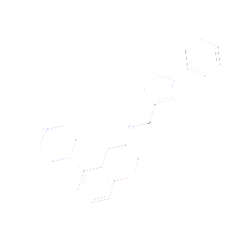 CN1CCN(c2cccc3c2C[C@H](NC(=O)c2cnn(-c4ccccc4)n2)CO3)CC1